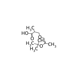 CC(COCC(C)C(=O)O)OC(C)(C)C